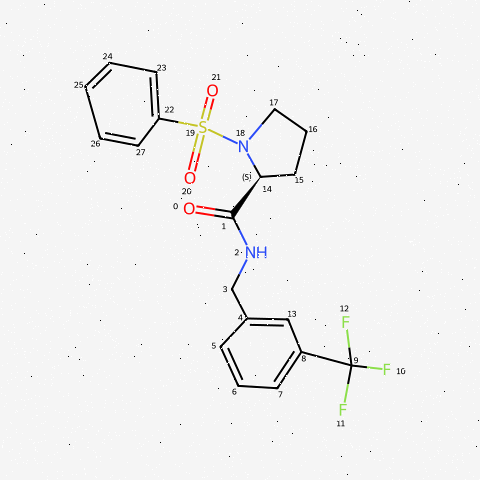 O=C(NCc1cccc(C(F)(F)F)c1)[C@@H]1CCCN1S(=O)(=O)c1ccccc1